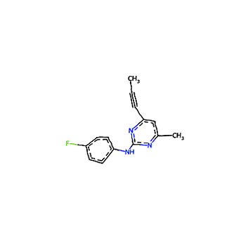 CC#Cc1cc(C)nc(Nc2ccc(F)cc2)n1